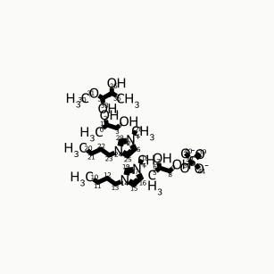 CC(O)CO.CC(O)CO.CCCCn1cc[n+](C)c1.CCCCn1cc[n+](C)c1.COC(O)C(C)O.O=S(=O)([O-])[O-]